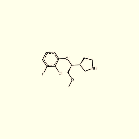 COC[C@@H](Oc1cccc(F)c1Cl)[C@H]1CCNC1